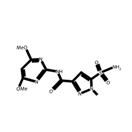 COc1cc(OC)nc(NC(=O)c2cc(S(N)(=O)=O)n(C)n2)n1